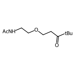 CC(=O)NCCOCCC(=O)C(C)(C)C